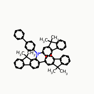 CC1(C)c2ccccc2-c2ccc(-c3ccc4c(c3N(c3ccc(-c5ccccc5)cc3)c3ccc5c(c3)C(C)(C)c3ccccc3-5)C(C)(C)c3ccccc3-4)cc21